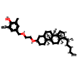 Cc1cc(COCCOC2CC[C@@]3(C)C(CC[C@H]4[C@@H]5CC[C@H]([C@H](C)CCCC(C)C)[C@@]5(C)CC[C@@H]43)C2)cc(C(C)(C)C)c1O